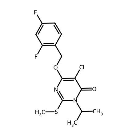 CSc1nc(OCc2ccc(F)cc2F)c(Cl)c(=O)n1C(C)C